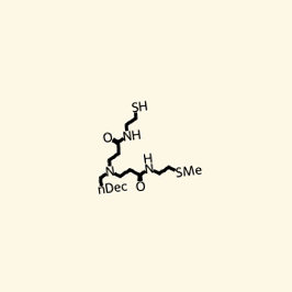 CCCCCCCCCCCN(CCC(=O)NCCS)CCC(=O)NCCSC